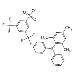 Cc1cc(C)c([S+](c2ccccc2)c2ccccc2)c(C)c1.O=S(=O)([O-])c1cc(C(F)(F)F)cc(C(F)(F)F)c1